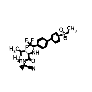 CCS(=O)(=O)c1ccc(-c2ccc([C@H](N[C@@H](CC(C)C)C(=O)NC3(C#N)CC3)C(F)(F)F)cc2)cc1